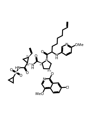 C=CCCCCCC(Nc1ccc(OC)nc1)C(=O)N1C[C@H](Oc2ncc(OC)c3ccc(Cl)cc23)C[C@H]1C(=O)N[C@]1(C(=O)NS(=O)(=O)C2CC2)C[C@H]1C=C